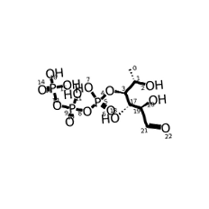 C[C@H](O)[C@H](OP(=O)(O)OP(=O)(O)OP(=O)(O)O)[C@@H](O)[C@@H](O)C=O